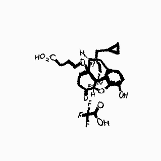 O=C(O)C(F)(F)F.O=C(O)CCCOC12CCC(=O)[C@@H]3Oc4c(O)ccc5c4[C@@]31CCN(CC1CC1)[C@@H]2C5